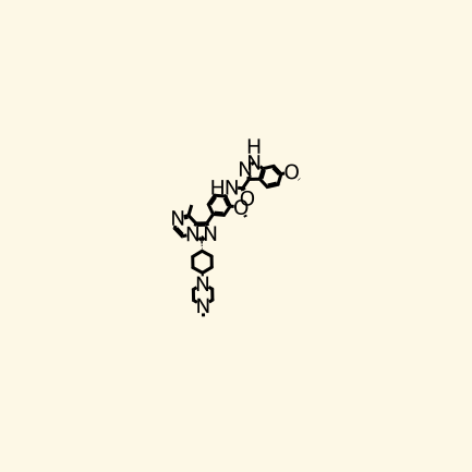 COc1ccc2c(C(=O)Nc3ccc(-c4nc([C@H]5CC[C@H](N6CCN(C)CC6)CC5)n5ccnc(C)c45)cc3OC)n[nH]c2c1